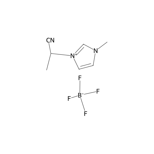 CC(C#N)[n+]1ccn(C)c1.F[B-](F)(F)F